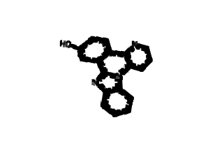 Oc1ccc2c(c1)c1nc3ccccc3n1c1cccnc21